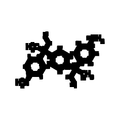 CC(CI)(c1ccc(N)cc1)c1ccc(C(C)(CI)c2ccc(N)cc2)cc1